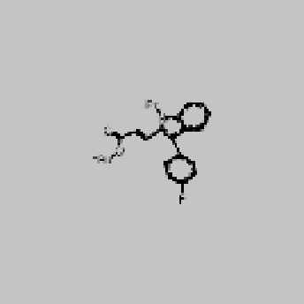 CC(C)n1c(C=CC(=O)OC(C)(C)C)c(-c2ccc(F)cc2)c2ccccc21